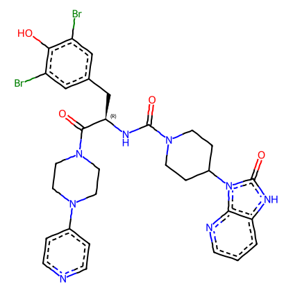 O=C(N[C@H](Cc1cc(Br)c(O)c(Br)c1)C(=O)N1CCN(c2ccncc2)CC1)N1CCC(n2c(=O)[nH]c3cccnc32)CC1